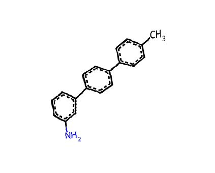 Cc1ccc(-c2ccc(-c3cccc(N)c3)cc2)cc1